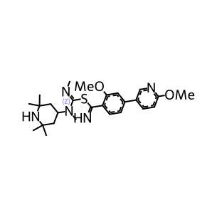 C/N=C(\SC(=N)c1ccc(-c2ccc(OC)nc2)cc1OC)N(C)C1CC(C)(C)NC(C)(C)C1